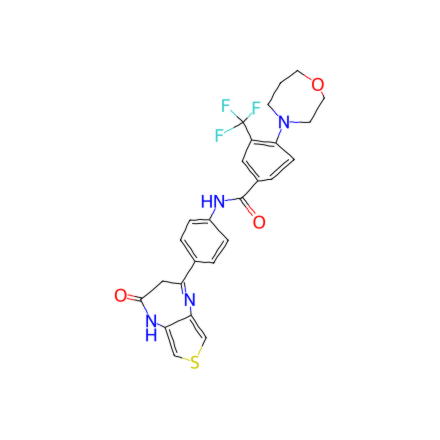 O=C1CC(c2ccc(NC(=O)c3ccc(N4CCCOCC4)c(C(F)(F)F)c3)cc2)=Nc2cscc2N1